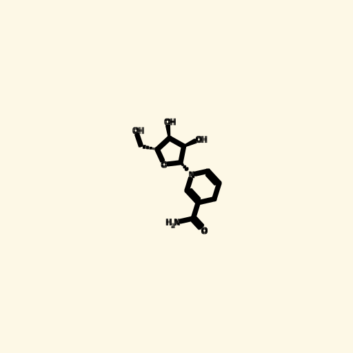 NC(=O)C1=CN([C@@H]2O[C@H](CO)[C@@H](O)[C@H]2O)C=CC1